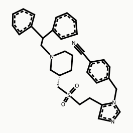 N#Cc1ccc(Cn2cncc2CCS(=O)(=O)C[C@H]2CCCN(CC(c3ccccc3)c3ccccc3)C2)cc1